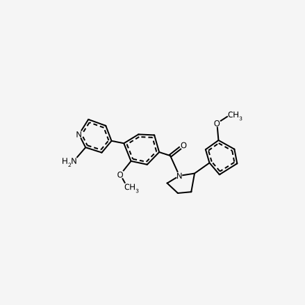 COc1cccc(C2CCCN2C(=O)c2ccc(-c3ccnc(N)c3)c(OC)c2)c1